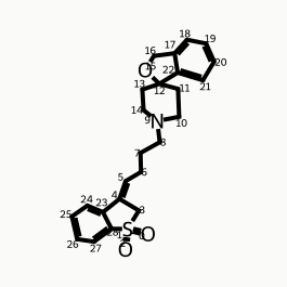 O=S1(=O)CC(=CCCCN2CCC3(CC2)OCc2ccccc23)c2ccccc21